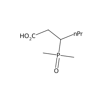 CCCC(CC(=O)O)P(C)(C)=O